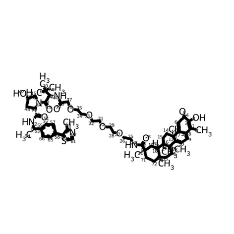 CC1=C(O)C(=O)C=C2C1=CC=C1[C@@]2(C)CC[C@@]2(C)[C@@H]3C[C@](C)(C(=O)NCCOCCOCCOCCOCC(=O)N[C@H](C(=O)N4C[C@H](O)C[C@H]4C(=O)N[C@@H](C)c4ccc(-c5scnc5C)cc4)C(C)(C)C)CC[C@]3(C)CC[C@]12C